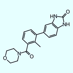 Cc1c(C(=O)N2CCOCC2)cccc1-c1ccc2[nH]c(=O)[nH]c2c1